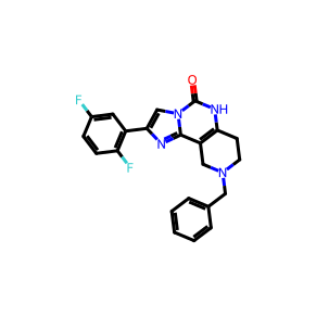 O=c1[nH]c2c(c3nc(-c4cc(F)ccc4F)cn13)CN(Cc1ccccc1)CC2